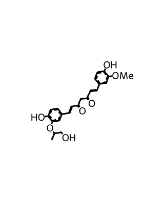 COc1cc(/C=C/C(=O)CC(=O)/C=C/c2ccc(O)c(OC(C)CO)c2)ccc1O